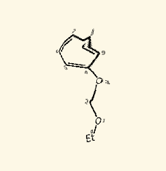 [CH2]COCOc1ccccc1